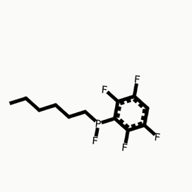 CCCCCCP(F)c1c(F)c(F)cc(F)c1F